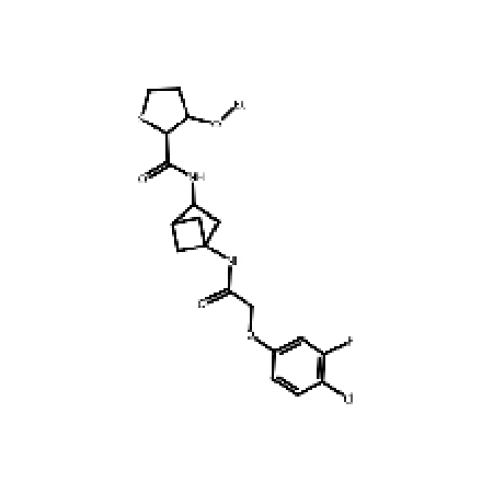 CCOC1CCSC1C(=O)NC1CC2(NC(=O)COc3ccc(Cl)c(F)c3)CC1C2